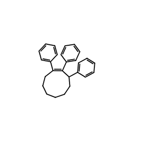 c1ccc(C2=C(c3ccccc3)C(c3ccccc3)CCCCCC2)cc1